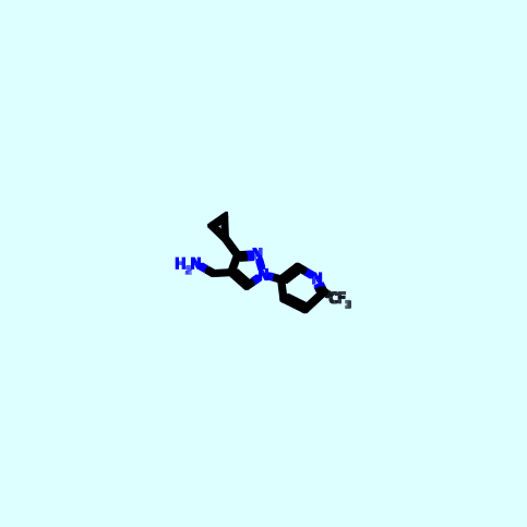 NCc1cn(-c2ccc(C(F)(F)F)nc2)nc1C1CC1